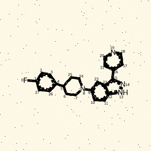 Fc1ccc(C2CCN(c3ccc4[nH]nc(-c5ccncc5)c4c3)CC2)cc1